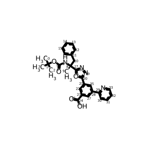 CC(C)(C)OC(=O)N[C@](C)(Cc1ccccc1)c1nnc(-c2cc(C(=O)O)cc(-c3ccccn3)c2)o1